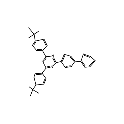 CC(C)(C)c1ccc(-c2nc(C3=CCC(C(C)(C)C)C=C3)nc(-c3ccc(-c4ccccc4)cc3)n2)cc1